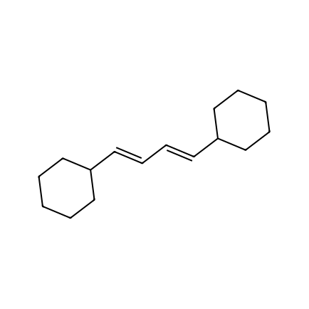 C(C=CC1CCCCC1)=CC1CCCCC1